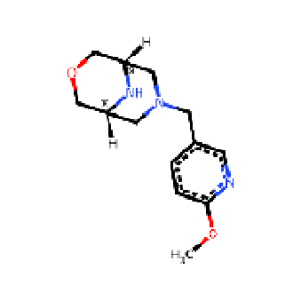 COc1ccc(CN2C[C@H]3COC[C@@H](C2)N3)cn1